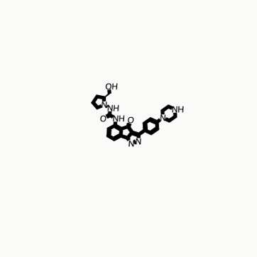 O=C(Nc1cccc2c1C(=O)C1=C(c3ccc(N4CCNCC4)cc3)N=NC12)NN1CCC[C@H]1CO